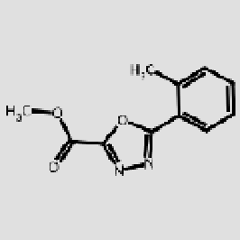 COC(=O)c1nnc(-c2ccccc2C)o1